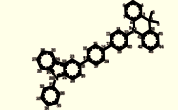 CC1(C)c2ccccc2N(c2ccc(-c3ccc(-c4ccc5c(c4)c4ccccc4n5-c4ccccc4)cc3)cc2)c2ccccc21